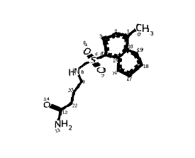 Cc1ccc(S(=O)(=O)NCCCC(N)=O)c2ccccc12